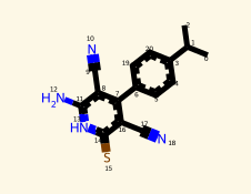 CC(C)c1ccc(-c2c(C#N)c(N)[nH]c(=S)c2C#N)cc1